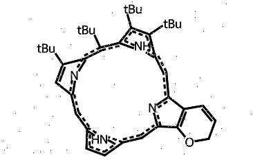 CC(C)(C)C1=Cc2cc3ccc(cc4nc(cc5[nH]c(c(C(C)(C)C)c1n2)c(C(C)(C)C)c5C(C)(C)C)C1=C4OCC=C1)[nH]3